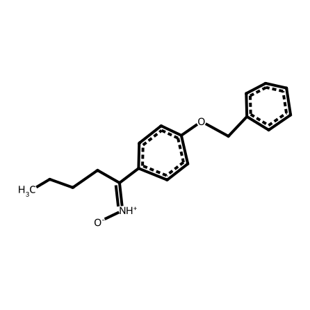 CCCCC(=[NH+][O-])c1ccc(OCc2ccccc2)cc1